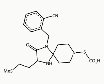 CSCCC1NC2(CCN(SC(=O)O)CC2)N(Cc2ccccc2C#N)C1=O